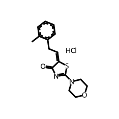 Cc1ccccc1CC=C1SC(N2CCOCC2)=NC1=O.Cl